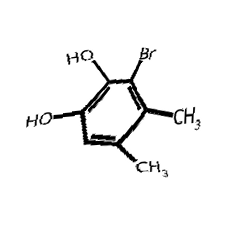 Cc1cc(O)c(O)c(Br)c1C